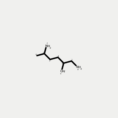 CC(N)CCC(O)CN